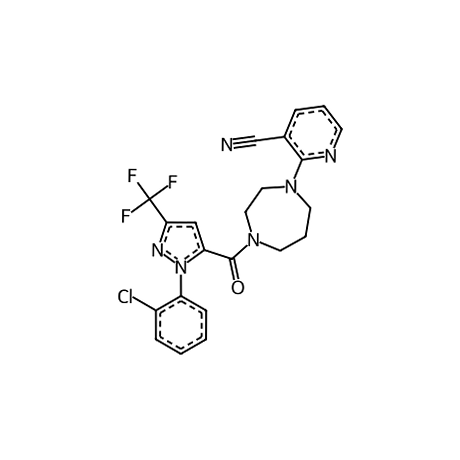 N#Cc1cccnc1N1CCCN(C(=O)c2cc(C(F)(F)F)nn2-c2ccccc2Cl)CC1